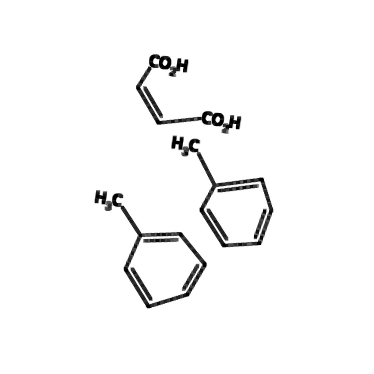 Cc1ccccc1.Cc1ccccc1.O=C(O)/C=C\C(=O)O